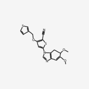 COC1=Cc2ncn(-c3cc(OCc4ccsc4)c(C#N)s3)c2CC1OC